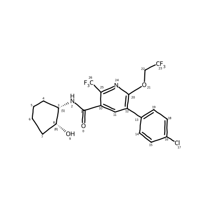 O=C(N[C@H]1CCCC[C@H]1O)c1cc(-c2ccc(Cl)cc2)c(OCC(F)(F)F)nc1C(F)(F)F